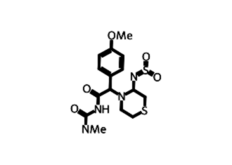 CNC(=O)NC(=O)C(c1ccc(OC)cc1)N1CCSCC1N=S(=O)=O